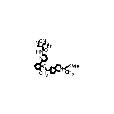 CCO/C(Nc1cccc(-c2cccc(C)c2OCc2ccc3c(c2)CCN(C(C)CSC)C3)n1)=C(/C=N)C(=O)N=O